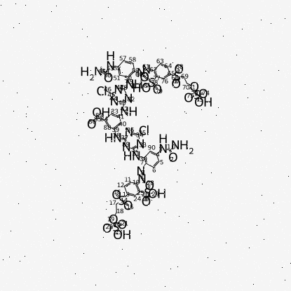 NC(=O)Nc1ccc(/N=N/c2ccc(S(=O)(=O)CCOS(=O)(=O)O)cc2S(=O)(=O)O)c(Nc2nc(Cl)nc(Nc3cc(Nc4nc(Cl)nc(Nc5cc(NC(N)=O)ccc5/N=N/c5ccc(S(=O)(=O)CCOS(=O)(=O)O)cc5S(=O)(=O)O)n4)cc(C(=O)O)c3)n2)c1